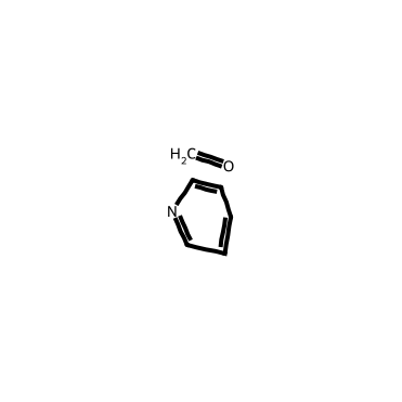 C=O.c1ccncc1